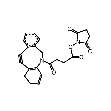 O=C(CCC(=O)N1Cc2ccccc2C#CC2=C1C=CCC2)ON1C(=O)CCC1=O